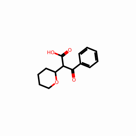 O=C(O)C(C(=O)c1ccccc1)C1CCCCO1